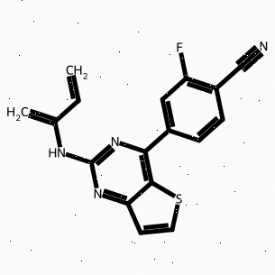 C=CC(=C)Nc1nc(-c2ccc(C#N)c(F)c2)c2sccc2n1